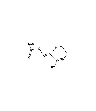 CNC(=O)ON=C1SCCN=C1C(C)C